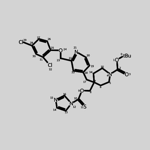 CC(C)(C)OC(=O)N1CCC(COC(=S)n2ccnc2)(Cc2ccnc(COc3ccc(Cl)cc3Cl)c2)CC1